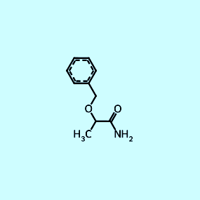 CC(OCc1ccccc1)C(N)=O